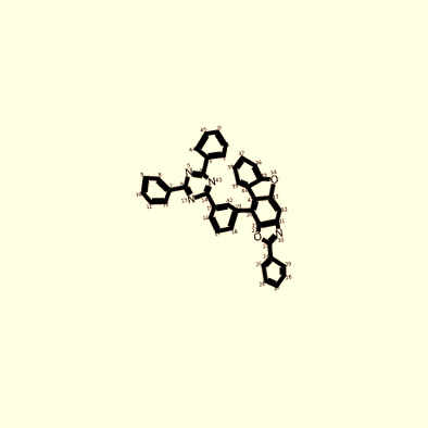 c1ccc(-c2nc(-c3ccccc3)nc(-c3cccc(-c4c5oc(-c6ccccc6)nc5cc5oc6ccccc6c45)c3)n2)cc1